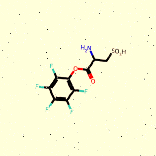 NC(CS(=O)(=O)O)C(=O)Oc1c(F)c(F)c(F)c(F)c1F